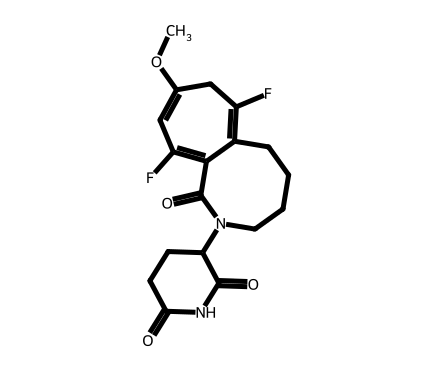 COC1=CC(F)=C2C(=O)N(C3CCC(=O)NC3=O)CCCCC2=C(F)C1